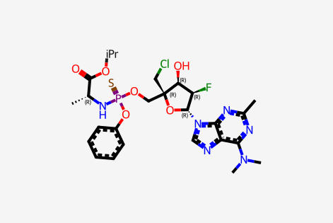 Cc1nc(N(C)C)c2ncn([C@@H]3O[C@](CCl)(COP(=S)(N[C@H](C)C(=O)OC(C)C)Oc4ccccc4)[C@@H](O)[C@H]3F)c2n1